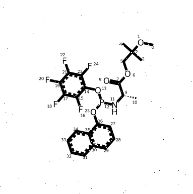 COC(C)(C)COC(=O)[C@H](C)NP(Oc1c(F)c(F)c(F)c(F)c1F)Oc1cccc2ccccc12